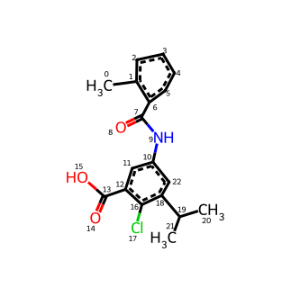 Cc1ccccc1C(=O)Nc1cc(C(=O)O)c(Cl)c(C(C)C)c1